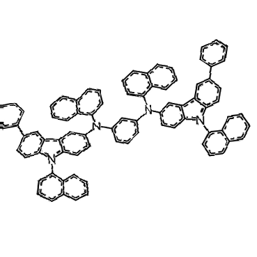 c1ccc(-c2ccc3c(c2)c2cc(N(c4cccc(N(c5ccc6c(c5)c5cc(-c7ccccc7)ccc5n6-c5cccc6ccccc56)c5cccc6ccccc56)c4)c4cccc5ccccc45)ccc2n3-c2cccc3ccccc23)cc1